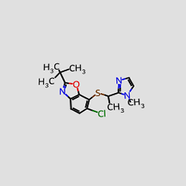 CC(Sc1c(Cl)ccc2nc(C(C)(C)C)oc12)c1nccn1C